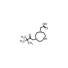 CC(C)(C)C(=O)CN1CCNCCN(CC(=O)O)CC1